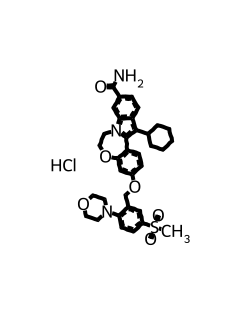 CS(=O)(=O)c1ccc(N2CCOCC2)c(COc2ccc3c(c2)OCCn2c-3c(C3CCCCC3)c3ccc(C(N)=O)cc32)c1.Cl